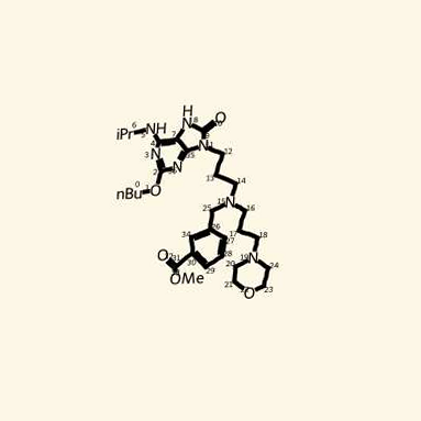 CCCCOc1nc(NC(C)C)c2[nH]c(=O)n(CCCN(CCCN3CCOCC3)Cc3cccc(C(=O)OC)c3)c2n1